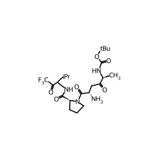 CC(C)C(NC(=O)[C@@H]1CCCN1C(=O)[C@@H](N)CC(=O)[C@H](C)NC(=O)OC(C)(C)C)C(=O)C(F)(F)F